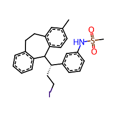 Cc1ccc2c(c1)CCc1ccccc1C2[C@@H](CCI)c1cccc(NS(C)(=O)=O)c1